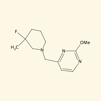 COc1nccc(CN2CCCC(C)(F)C2)n1